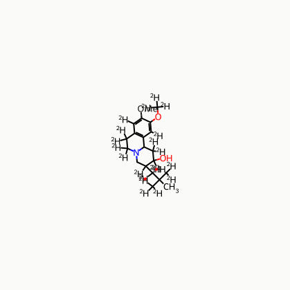 [2H]c1c(OC([2H])([2H])[2H])c(OC)c([2H])c2c1C1N(CC([2H])(C([2H])([2H])C(C)(C([2H])([2H])[2H])C([2H])([2H])[2H])C([2H])(O)C1([2H])[2H])C([2H])([2H])C2([2H])[2H]